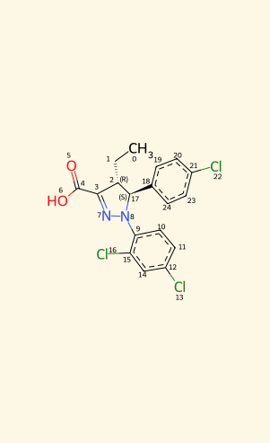 CC[C@H]1C(C(=O)O)=NN(c2ccc(Cl)cc2Cl)[C@@H]1c1ccc(Cl)cc1